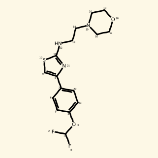 FC(F)Oc1ccc(-c2csc(NCCN3CCOCC3)n2)cc1